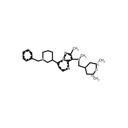 Cc1nn2c(C3CCCN(Cc4ccccc4)C3)ccnc2c1N(C)CC1C[C@@H](C)O[C@@H](C)C1